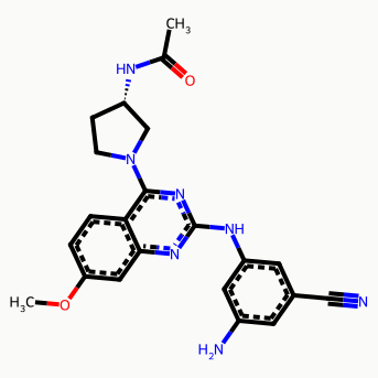 COc1ccc2c(N3CC[C@H](NC(C)=O)C3)nc(Nc3cc(N)cc(C#N)c3)nc2c1